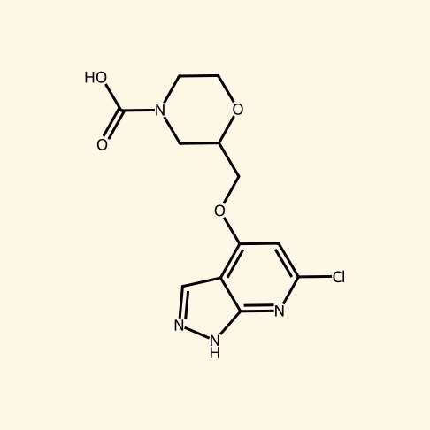 O=C(O)N1CCOC(COc2cc(Cl)nc3[nH]ncc23)C1